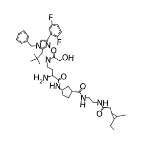 CCC1C(C)C1CC(=O)NCCNC(=O)[C@H]1CC[C@@H](NC(=O)[C@@H](N)CCN(C(=O)CO)[C@@H](c2nc(-c3cc(F)ccc3F)cn2Cc2ccccc2)C(C)(C)C)C1